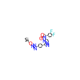 C[Si](C)(C)CCOCn1cnc(-c2ccc(-c3cnn4ccc(N5C(=O)OC[C@H]5c5ccc(F)c(F)c5)nc34)cc2)n1